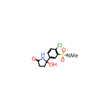 CNS(=O)(=O)c1cc(C2(O)CCC(=O)N2)ccc1Cl